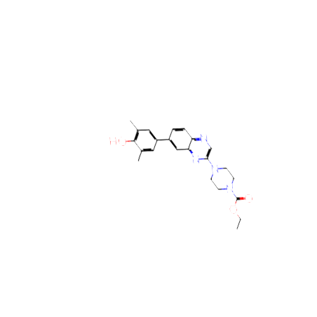 CCOC(=O)N1CCN(c2cnc3ccc(-c4cc(C)c(O)c(C)c4)cc3n2)CC1